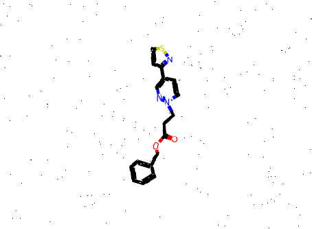 O=C(CC[n+]1ccc(-c2ccsn2)cn1)OCc1ccccc1